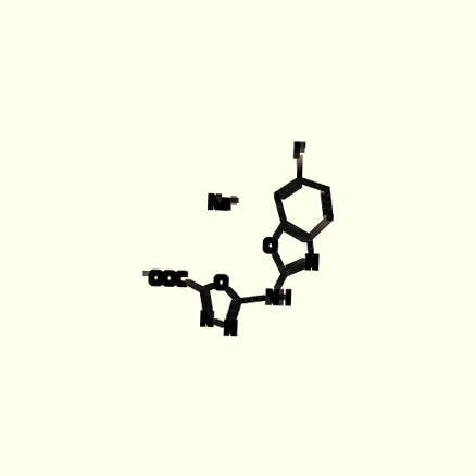 O=C([O-])c1nnc(Nc2nc3ccc(F)cc3o2)o1.[Na+]